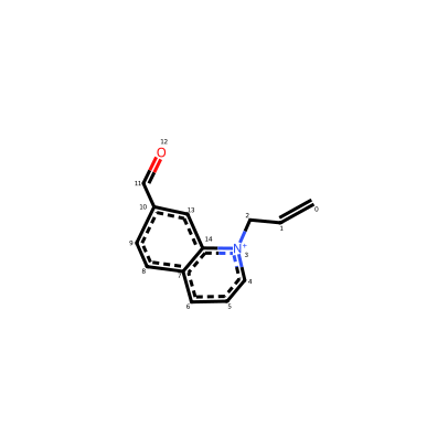 C=CC[n+]1cccc2ccc(C=O)cc21